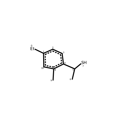 CCc1ccc(C(C)S)c(C)c1